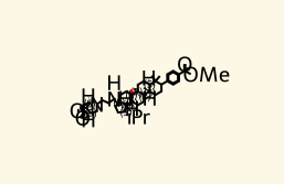 COC(=O)c1ccc(C2CC[C@]3(C)[C@H]4CC[C@@H]5[C@H]6[C@H](C(C)C)CC[C@]6(NCCN6C[C@@H]7C[C@H]6CS7(=O)=O)CC[C@@]5(C)[C@]4(C)CC[C@H]3C2(C)C)cc1